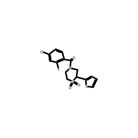 O=C(c1ccc(Cl)cc1F)N1CCS(=O)(=O)C(c2cccs2)C1